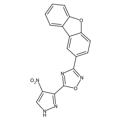 O=[N+]([O-])c1c[nH]nc1-c1nc(-c2ccc3oc4ccccc4c3c2)no1